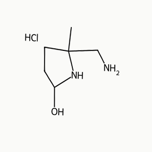 CC1(CN)CCC(O)N1.Cl